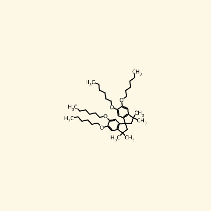 CCCCCCOc1cc2c(cc1OCCCCCC)C1(CC2(C)C)CC(C)(C)c2cc(OCCCCCC)c(OCCCCCC)cc21